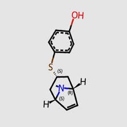 CN1[C@@H]2C=C[C@H]1C[C@@H](Sc1ccc(O)cc1)C2